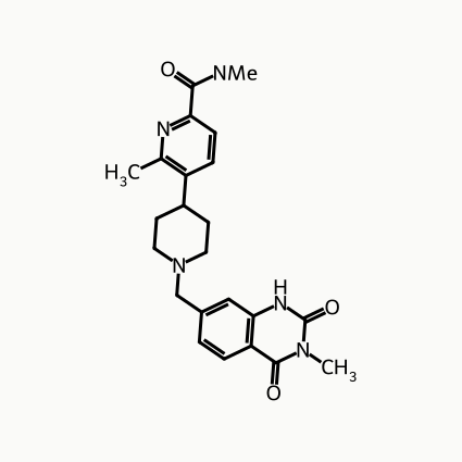 CNC(=O)c1ccc(C2CCN(Cc3ccc4c(=O)n(C)c(=O)[nH]c4c3)CC2)c(C)n1